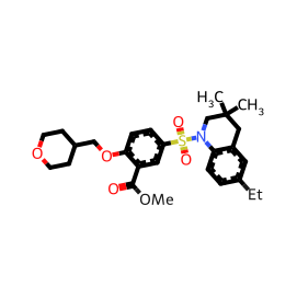 CCc1ccc2c(c1)CC(C)(C)CN2S(=O)(=O)c1ccc(OCC2CCOCC2)c(C(=O)OC)c1